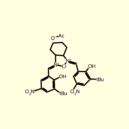 CC(=O)[O-].CC(C)(C)c1cc([N+](=O)[O-])cc(C=[N+]2[Cr][N+](=Cc3cc([N+](=O)[O-])cc(C(C)(C)C)c3O)C3CCCCC32)c1O